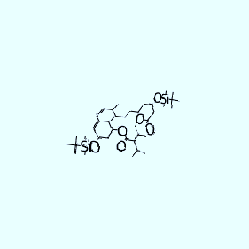 CC(C)C(C(=O)OC1CC(O[Si](C)(C)C(C)(C)C)C=C2C=CC(C)C(CCC3CC(O[Si](C)(C)C(C)(C)C)CC(=O)O3)C21)C(C)C